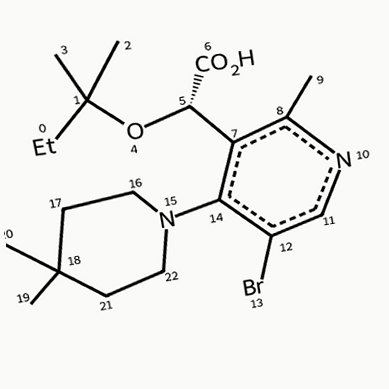 CCC(C)(C)O[C@H](C(=O)O)c1c(C)ncc(Br)c1N1CCC(C)(C)CC1